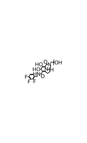 CC(C)(O)CN1C[C@@H]2CCC3=C(C(=O)NCc4ccc(F)c(F)c4F)C(O)C(O)=C(C1=O)N32